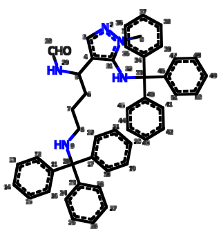 Cn1ncc(C(CCCNC(c2ccccc2)(c2ccccc2)c2ccccc2)NC=O)c1NC(c1ccccc1)(c1ccccc1)c1ccccc1